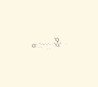 COC(=O)C1=C(C(F)(F)F)NC(C)=C(C(=O)OCCCCCCNCC(O)COc2ccccc2OC)C1c1cccc(Cl)c1.Cl